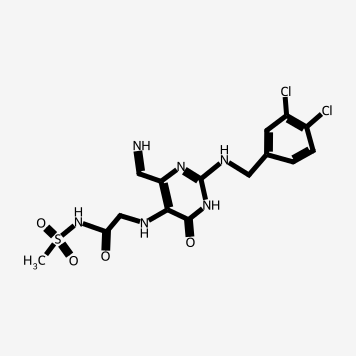 CS(=O)(=O)NC(=O)CNc1c(C=N)nc(NCc2ccc(Cl)c(Cl)c2)[nH]c1=O